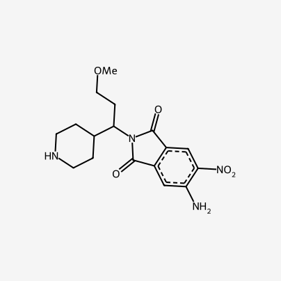 COCCC(C1CCNCC1)N1C(=O)c2cc(N)c([N+](=O)[O-])cc2C1=O